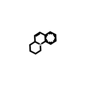 C1=CC2CCCCN2c2ccccc21